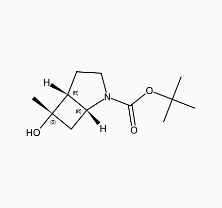 CC(C)(C)OC(=O)N1CC[C@@H]2[C@H]1C[C@]2(C)O